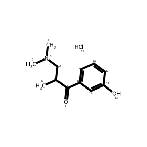 CC(CN(C)C)C(=O)c1cccc(O)c1.Cl